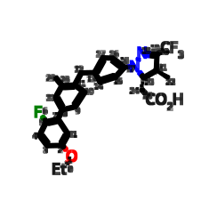 CCOc1ccc(F)c(-c2ccc(Cc3ccc(N4N=C(C(F)(F)F)[C@@H](C)[C@@H]4CC(=O)O)cc3)c(C)c2)c1